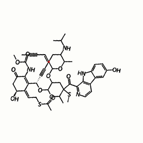 CC#C/C=C\C#C[C@H](OC1OC(C)C(SC)(C(=O)c2nccc3c2[nH]c2ccc(O)cc23)CC1OC1CCC(NC(C)C)C(C)O1)C1=C(NC(=O)OC)C(=O)C[C@H](O)/C1=C/CSC(C)=O